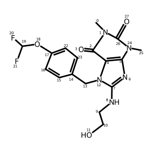 Cn1c(=O)c2c(nc(NCCO)n2Cc2ccc(OC(F)F)cc2)n(C)c1=O